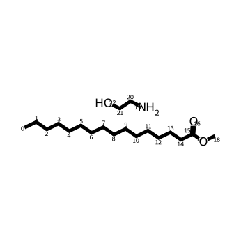 CCCCCCCCCCCCCCCC(=O)OC.NCCO